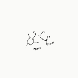 CCCCCC(=O)OC(C(=O)c1c(C)cc(C)cc1C)C(C)C.O=P